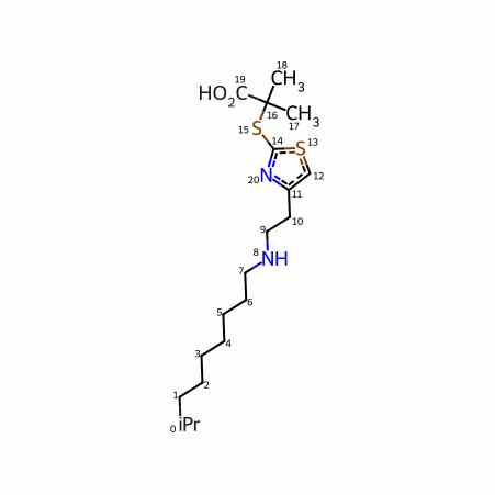 CC(C)CCCCCCCNCCc1csc(SC(C)(C)C(=O)O)n1